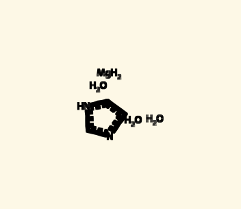 O.O.O.[MgH2].c1c[nH]cn1